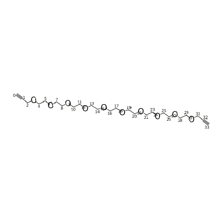 C#CCOCCOCCOCCOCCOCCOCCOCCOCCOCCOCC#C